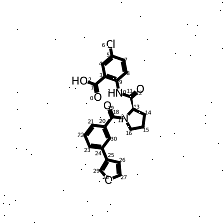 O=C(O)c1cc(Cl)ccc1NC(=O)[C@H]1CCCN1C(=O)c1cccc(-c2ccoc2)c1